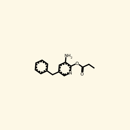 CCC(=O)Oc1ncc(Cc2ccccc2)cc1N